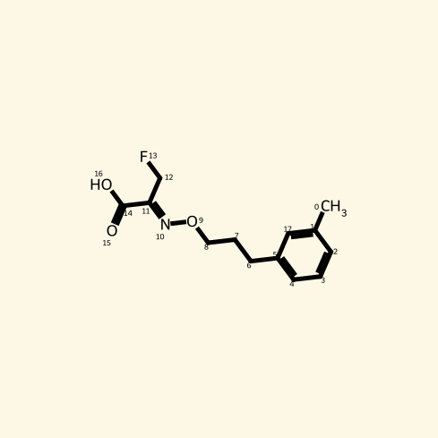 Cc1cccc(CCCON=C(CF)C(=O)O)c1